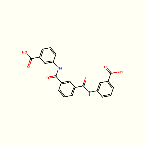 O=C(O)c1cccc(NC(=O)c2cccc(C(=O)Nc3cccc(C(=O)O)c3)c2)c1